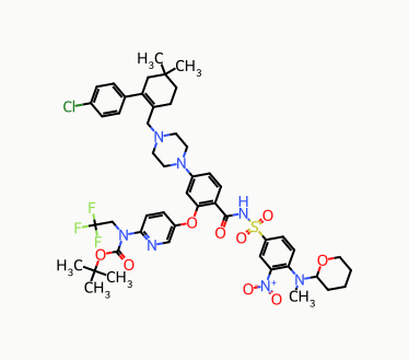 CN(c1ccc(S(=O)(=O)NC(=O)c2ccc(N3CCN(CC4=C(c5ccc(Cl)cc5)CC(C)(C)CC4)CC3)cc2Oc2ccc(N(CC(F)(F)F)C(=O)OC(C)(C)C)nc2)cc1[N+](=O)[O-])C1CCCCO1